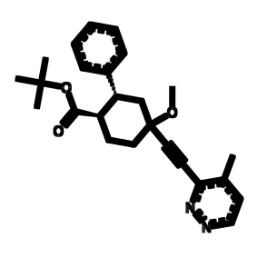 COC1(C#Cc2nnccc2C)CC[C@@H](C(=O)OC(C)(C)C)[C@H](c2ccccc2)C1